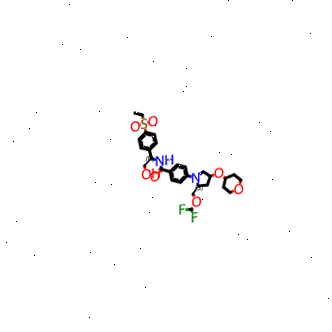 CCS(=O)(=O)c1ccc([C@H](CO)NC(=O)c2ccc(N3CC(OC4CCOCC4)C[C@H]3COC(F)F)cc2)cc1